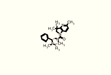 Cc1ccc2c(n1)C(C)(C)CN2C(=O)N(C)C[C@@H](c1ccccc1)N(C)C